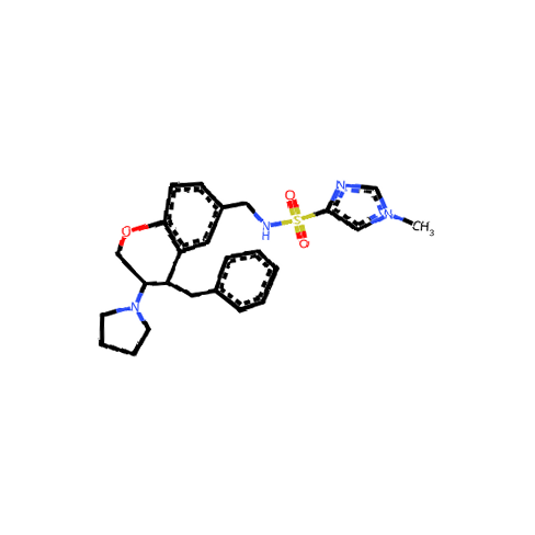 Cn1cnc(S(=O)(=O)NCc2ccc3c(c2)C(Cc2ccccc2)C(N2CCCC2)CO3)c1